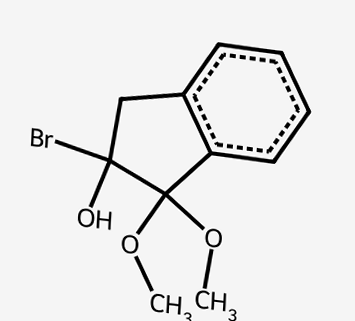 COC1(OC)c2ccccc2CC1(O)Br